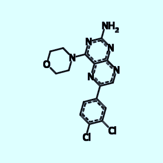 Nc1nc(N2CCOCC2)c2nc(-c3ccc(Cl)c(Cl)c3)cnc2n1